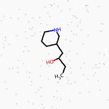 CCC(O)CC1CCCNC1